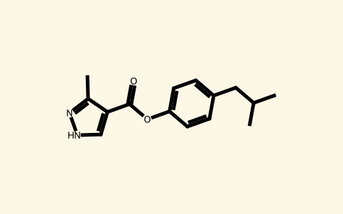 Cc1n[nH]cc1C(=O)Oc1ccc(CC(C)C)cc1